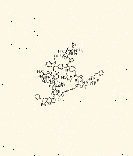 CN[C@@H](C)C(=O)NC(C(=O)N1CCCC1CN(CCc1ccccc1)C(=O)C(F)(F)F)C(C)OCC#CC#CCOC(C)C(NC(=O)[C@H](Cc1ccc2c(C[C@@H]3CCCN3C(=O)C(NC(=O)[C@H](C)NC)C(C)(C)C)c(-c3ccc(-c4c(CC[C@@H]5CCCN5C(=O)C(NC(=O)[C@H](C)NC)C(C)(C)C)c5ccccc5n4CCO)cc3)n(CCO)c2c1)NC)C(=O)N1CCC[C@H]1CN(CCCc1ccccc1)C(=O)C(F)(F)F